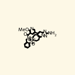 COc1ncc(-c2ccn3nc(N)nc3c2)cc1C(=O)NCc1ccccc1S(=O)(=O)N1CCCCCC1